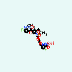 CNC(=O)c1c(-c2ccc(F)cc2)oc2cc(N(CCOCCOCc3ccc(F)c(C(=O)NO)c3)S(C)(=O)=O)c(C3CC3)cc12